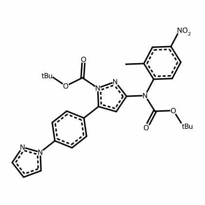 Cc1cc([N+](=O)[O-])ccc1N(C(=O)OC(C)(C)C)c1cc(-c2ccc(-n3cccn3)cc2)n(C(=O)OC(C)(C)C)n1